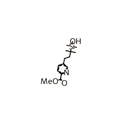 COC(=O)c1ccc(CCC(C)(C)[Si](C)(C)O)cn1